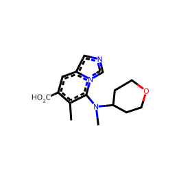 Cc1c(C(=O)O)cc2cncn2c1N(C)C1CCOCC1